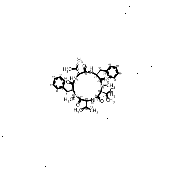 CC(C)[C@@H]1NC(=O)[C@H](Cc2ccccc2)N(C)C(=O)[C@H](C(C)C)NC(=O)[C@H](C(C)C)N(C)C(=O)[C@H](Cc2ccccc2)NC1=O